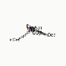 CCCCCCCCCCCCCCCCCCCCCCN(C(=O)C(CC)CCCC)[C@@](CCCCCCCCCCCCCCCCCCCCCC)(CCC(=O)O)C(=O)O